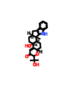 CC(C)(O)C1O[C@H]2CC[C@@]3(C)[C@@](O)(CC[C@H]4Cc5c([nH]c6ccccc56)[C@@]43C)C2=CC1=O